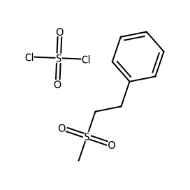 CS(=O)(=O)CCc1ccccc1.O=S(=O)(Cl)Cl